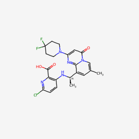 Cc1cc([C@@H](C)Nc2ccc(Cl)nc2C(=O)O)c2nc(N3CCC(F)(F)CC3)cc(=O)n2c1